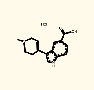 CN1CC=C(c2c[nH]c3ccc(C(=O)O)cc23)CC1.Cl